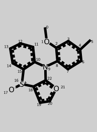 COc1cc(C)ccc1N1c2ccccc2[S+]([O-])c2ccoc21